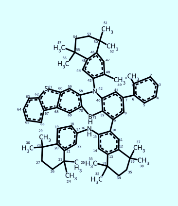 Cc1ccccc1-c1cc(-c2cc3c(cc2Nc2ccc4c(c2)C(C)(C)CCC4(C)C)C(C)(C)CCC3(C)C)c2c(c1)N(c1cc3c(cc1C)C(C)(C)CCC3(C)C)c1cc3sc4ccccc4c3cc1B2